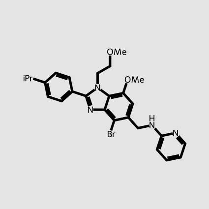 COCCn1c(-c2ccc(C(C)C)cc2)nc2c(Br)c(CNc3ccccn3)cc(OC)c21